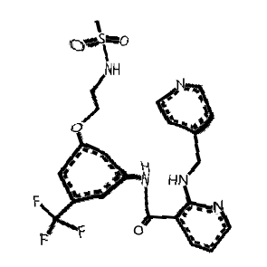 CS(=O)(=O)NCCOc1cc(NC(=O)c2cccnc2NCc2ccncc2)cc(C(F)(F)F)c1